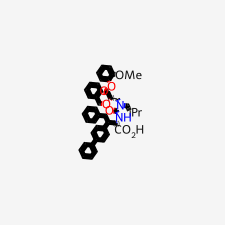 COc1ccccc1OC(=O)[C@H](CN(CC(C)C)C(=O)N[C@H](C(=O)O)C(Cc1ccccc1)c1ccc(-c2ccccc2)cc1)OCc1ccccc1